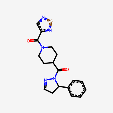 O=C(c1cnsn1)N1CCC(C(=O)N2N=CCC2c2ccccc2)CC1